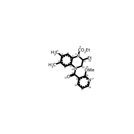 CCOC(=O)N1c2cc(C)c(C)cc2N(C(=O)c2cccnc2OC)CC1CC